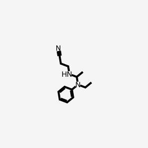 CCN(c1ccccc1)C(C)NCCC#N